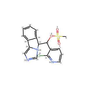 CS(=O)(=O)OC(c1cccnc1Cl)C1c2ccccc2-c2cncn21